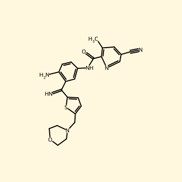 Cc1cc(C#N)cnc1C(=O)Nc1ccc(N)c(C(=N)c2ccc(CN3CCOCC3)s2)c1